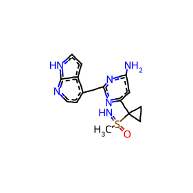 CS(=N)(=O)C1(c2cc(N)nc(-c3ccnc4[nH]ccc34)n2)CC1